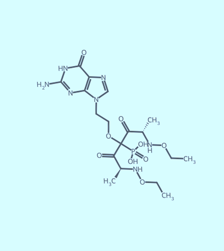 CCON[C@@H](C)C(=O)C(OCCn1cnc2c(=O)[nH]c(N)nc21)(C(=O)[C@H](C)NOCC)P(=O)(O)O